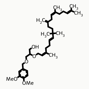 C=C(CC=C(C)CCC=C(C)C)CCC(C)(C)C=CCCC(C)=CCOC(CO)COCc1ccc(OC)c(OC)c1